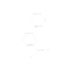 CN(C)c1cccc([C@H]2C[N]CCO2)c1